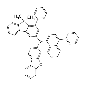 CC1(C)c2ccccc2-c2cc(N(c3ccc4c(c3)oc3ccccc34)c3ccc(-c4ccccc4)c4ccccc34)cc(-c3ccccc3)c21